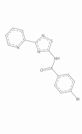 O=C(Nc1nc(-c2ccccn2)ns1)c1ccc(Br)cc1